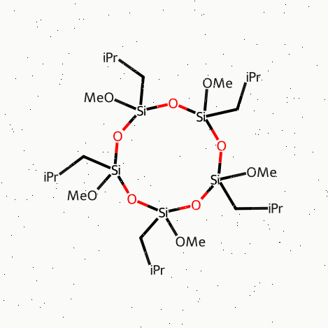 CO[Si]1(CC(C)C)O[Si](CC(C)C)(OC)O[Si](CC(C)C)(OC)O[Si](CC(C)C)(OC)O[Si](CC(C)C)(OC)O1